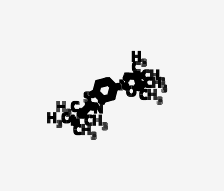 CN(C)C(C)(C)C1=NC2C=C(N3CC(C)(C)C(C)(C)O3)C=CC2S1